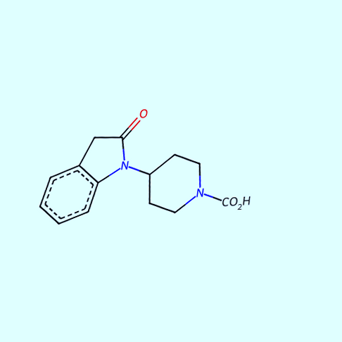 O=C(O)N1CCC(N2C(=O)Cc3ccccc32)CC1